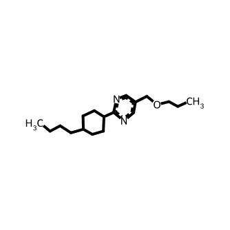 CCCCC1CCC(c2ncc(COCCC)cn2)CC1